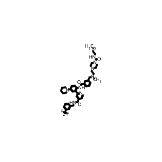 COCCNC(=O)N1CCN(CCN(C)Cc2cccc(C(=O)Nc3ccc(N4CCCCC4)cc3-c3cc(C(=O)NCc4cccc(C(F)(F)F)c4)ccn3)c2)CC1